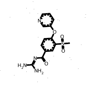 CS(=O)(=O)c1cc(C(=O)N=C(N)N)ccc1Oc1cccnc1